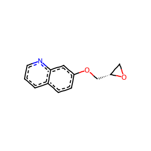 c1cnc2cc(OC[C@@H]3CO3)ccc2c1